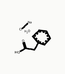 O.O=C(O)Cc1ccccc1.[Na][Cl]